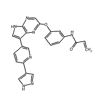 C=CC(=O)Nc1cccc(Oc2cnc3[nH]cc(-c4ccc(-c5cn[nH]c5)nc4)c3n2)c1